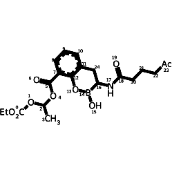 CCOC(=O)OC(C)OC(=O)c1cccc2c1OB(O)C(NC(=O)CCCC(C)=O)C2